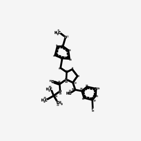 COc1ccc(CC2CCC(C(O)c3cncc(F)c3)N2C(=O)OC(C)(C)C)cc1